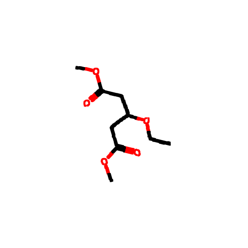 CCOC(CC(=O)OC)CC(=O)OC